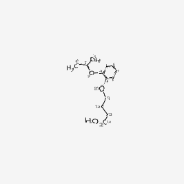 CC(O)Oc1ccccc1OCCCC(=O)O